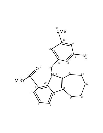 COC(=O)c1cccc2c3c(n(Cc4cc(Br)cc(OC)c4)c12)CCCCC3